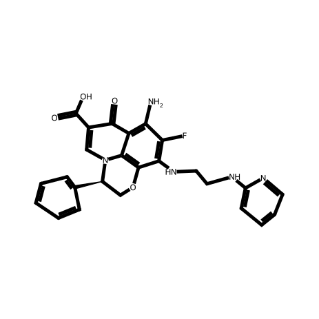 Nc1c(F)c(NCCNc2ccccn2)c2c3c1c(=O)c(C(=O)O)cn3[C@H](c1ccccc1)CO2